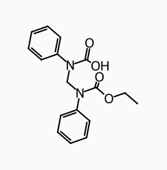 CCOC(=O)N(CN(C(=O)O)c1ccccc1)c1ccccc1